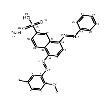 COc1ccc(C)cc1N=Nc1ccc(N=Nc2ccccc2)c2cc(S(=O)(=O)O)ccc12.[NaH]